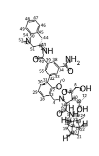 COc1c(CN2O[C@@H](CO)[C@H]([C@H](C)O)[C@H]2C(=O)N[C@H]2C[C@H]3C[C@@H]([C@@H]2C)C3(C)C)cccc1-c1cc(C(N)=O)cc(C(=O)N[C@@H](Cc2ccccc2)CN(C)C)c1